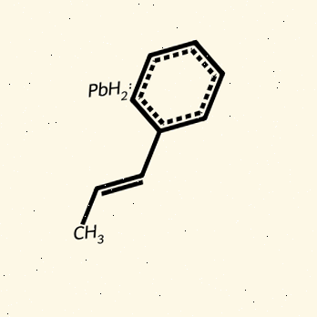 CC=Cc1ccccc1.[PbH2]